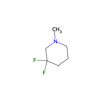 CN1CC[CH]C(F)(F)C1